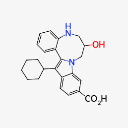 O=C(O)c1ccc2c(C3CCCCC3)c3n(c2c1)CC(O)CNc1ccccc1-3